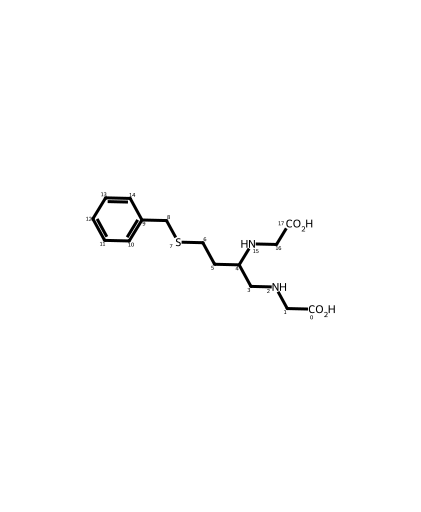 O=C(O)CNCC(CCSCc1ccccc1)NCC(=O)O